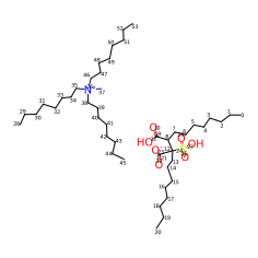 CCCCCCCCC(C(=O)O)C(CCCCCCCC)(C(=O)[O-])S(=O)(=O)O.CCCCCCCC[N+](C)(CCCCCCCC)CCCCCCCC